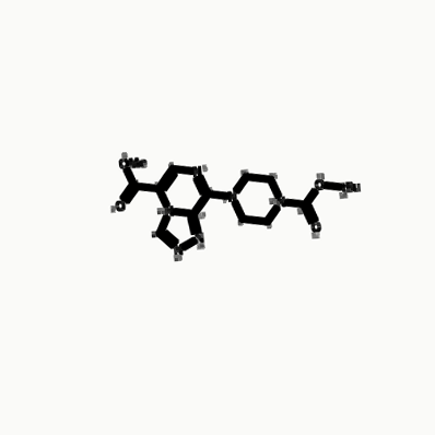 COC(=O)c1cnc(N2CCN(C(=O)OC(C)(C)C)CC2)c2nncn12